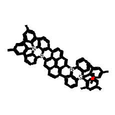 Cc1cc(C)c([Si]2(c3c(C)cc(C)cc3C)c3ccccc3B3c4c(cccc42)-c2ccc4cc5c6c(ccc7cc3c2c4c76)-c2cccc3c2B5c2ccc4cc2[Si]3(c2c(C)cc(C)cc2C)c2c(C)cc(C)cc2-4)c(C)c1